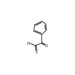 O=C(C(=S)Cl)c1ccccc1